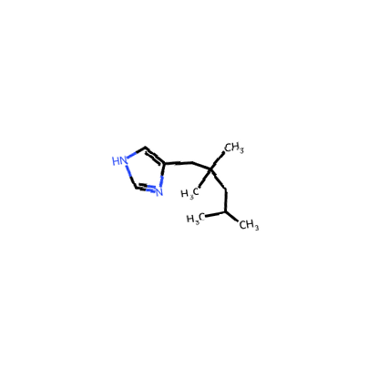 CC(C)CC(C)(C)Cc1c[nH]cn1